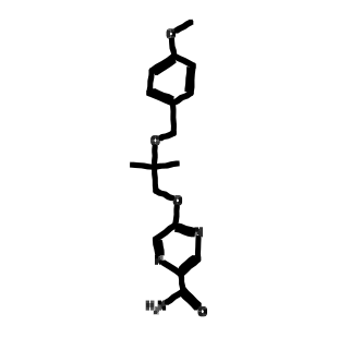 COc1ccc(COC(C)(C)COc2cnc(C(N)=O)cn2)cc1